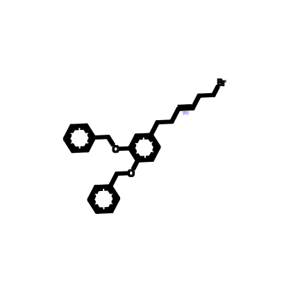 BrCC/C=C/CCc1ccc(OCc2ccccc2)c(OCc2ccccc2)c1